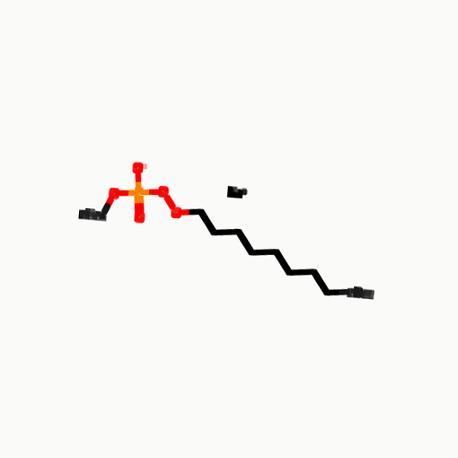 CCCCCCCCCCCCCCCCCCOOP(=O)([O-])OCCCCCC.[Na+]